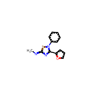 CN=c1nc(-c2ccco2)n(-c2ccccc2)s1